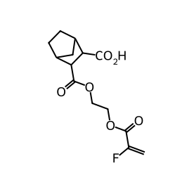 C=C(F)C(=O)OCCOC(=O)C1C2CCC(C2)C1C(=O)O